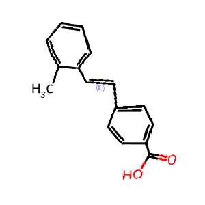 Cc1ccccc1/C=C/c1ccc(C(=O)O)cc1